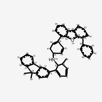 CC1C=CC=C(c2ccc3c(c2)-c2ccccc2C3(C)C)C1NC1C=CC(c2cccc3c2oc2c(-c4ccccc4)cccc23)=CC1